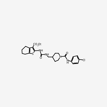 CCOC(=O)c1c(NC(=O)NCC2CCN(C(=O)Nc3ccc(Cl)cc3)CC2)sc2c1CCCC2